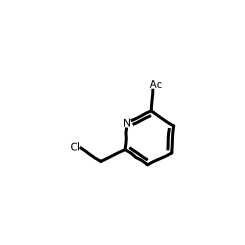 CC(=O)c1cccc(CCl)n1